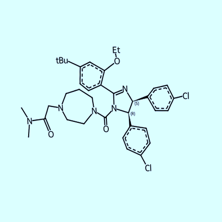 CCOc1cc(C(C)(C)C)ccc1C1=N[C@@H](c2ccc(Cl)cc2)[C@@H](c2ccc(Cl)cc2)N1C(=O)N1CCCN(CC(=O)N(C)C)CC1